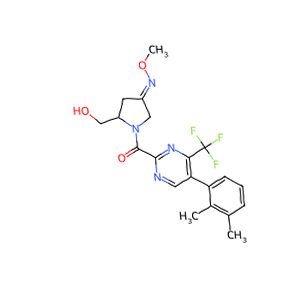 CO/N=C1\CC(CO)N(C(=O)c2ncc(-c3cccc(C)c3C)c(C(F)(F)F)n2)C1